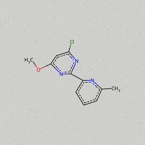 COc1cc(Cl)nc(-c2cccc(C)n2)n1